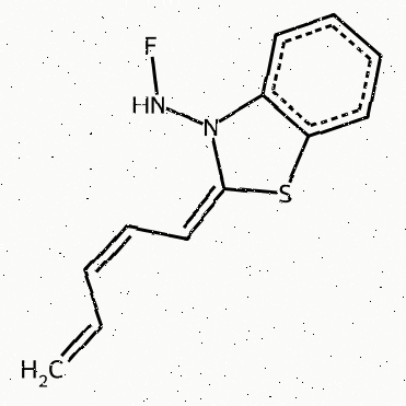 C=C/C=C\C=C1\Sc2ccccc2N1NF